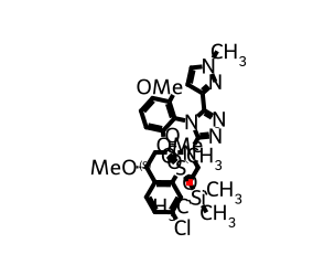 COc1cccc(OC)c1-n1c(-c2ccn(C)n2)nnc1N(CC[Si](C)(C)C)S(=O)(=O)C[C@@H](OC)c1ccc(Cl)cc1S(C)(=O)=O